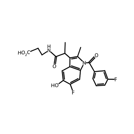 Cc1c(C(C)C(=O)NCCC(=O)O)c2cc(O)c(F)cc2n1C(=O)c1cccc(F)c1